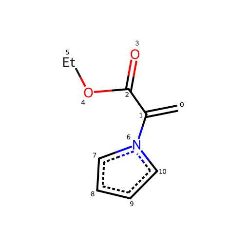 C=C(C(=O)OCC)n1cccc1